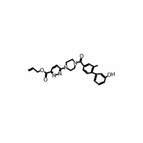 C=CCOC(=O)c1ccc(N2CCN(C(=O)c3ccc(-c4cccc(O)c4)c(C)c3)CC2)nn1